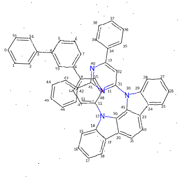 c1ccc(-c2cccc(-c3ccc(-n4c5ccccc5c5ccc6c7ccccc7n(-c7cc(-c8ccccc8)nc(-c8ccccc8)n7)c6c54)cc3)c2)cc1